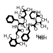 [CH2]C(C)(C)CC(=O)O[C@@H](C[C@@H](Cc1ccccc1)NC(=O)[C@H](C(C)C)N1CCCNC1=O)[C@H](Cc1ccccc1)NC(=O)COc1c(C)cccc1C.[NaH].[NaH]